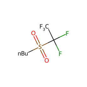 CCCCS(=O)(=O)C(F)(F)C(F)(F)F